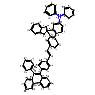 C1=CCC(N(c2ccccc2)c2ccc3c(c2)C2(Cc4ccccc4C2)C2=C3CCC(/C=C/c3ccc(-c4c(-c5ccccc5)c5ccccc5c5ccccc45)cc3)=C2)C=C1